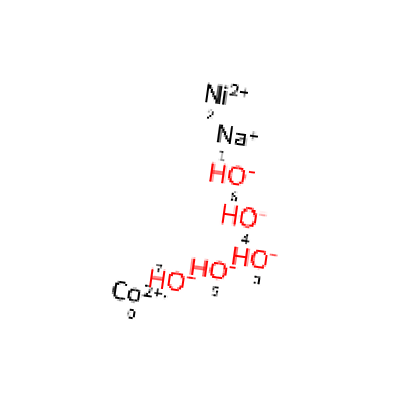 [Co+2].[Na+].[Ni+2].[OH-].[OH-].[OH-].[OH-].[OH-]